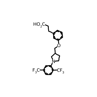 O=C(O)CCc1cccc(OCC2CCN(c3cc(C(F)(F)F)ccc3C(F)(F)F)C2)c1